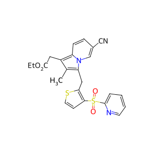 CCOC(=O)Cc1c(C)c(Cc2sccc2S(=O)(=O)c2ccccn2)n2cc(C#N)ccc12